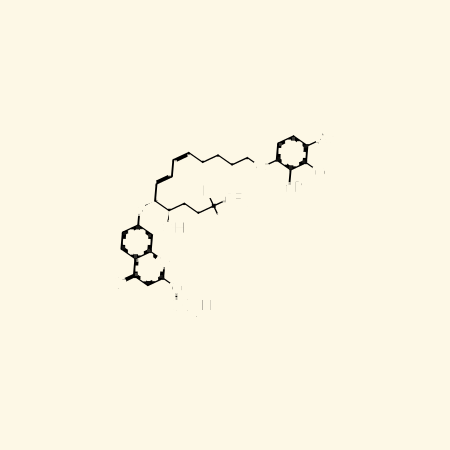 CCCc1c(OCCCC/C=C\C=C\[C@H](Sc2ccc3c(=O)cc(OC(=O)O)oc3c2)[C@H](O)CCC(F)(F)C(F)(F)F)ccc(C(C)=O)c1O